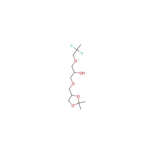 CC(F)(F)COCC(O)COCC1COC(C)(C)O1